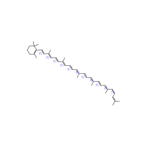 CC(C)=C\C=C/C(C)=C/C=C/C(C)=C/C=C/C(C)=C/C=C/C=C(C)/C=C/C=C(C)/C=C/C1=C(C)CCCC1(C)C